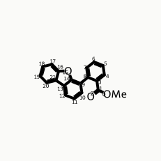 COC(=O)c1ccccc1-c1cccc2c1oc1ccccc12